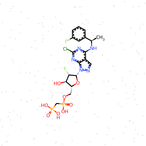 C[C@@H](Nc1nc(Cl)nc2c1cnn2[C@@H]1O[C@H](COP(=O)(O)CP(=O)(O)O)[C@@H](O)[C@@H]1F)c1cccc(F)c1